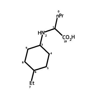 CCCC(NC1CCC(CC)CC1)C(=O)O